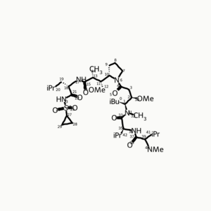 CC[C@H](C)[C@@H]([C@@H](CC(=O)N1CCC[C@H]1[C@H](OC)[C@@H](C)C(=O)N[C@@H](CC(C)C)C(=O)NS(=O)(=O)C1CC1)OC)N(C)C(=O)[C@@H](NC(=O)C(NC)C(C)C)C(C)C